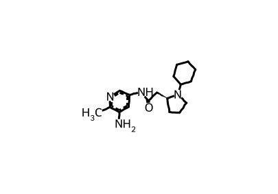 Cc1ncc(NC(=O)C[C@@H]2CCCN2C2CCCCC2)cc1N